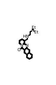 CCN(CC)CCNCc1cccn2c(=O)c3cc4ccccc4cc3nc12